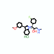 CNC[C@@H](O)[C@H](c1cccc(F)c1)n1cc(-c2cccc(OC)c2)c2ccccc21.Cl